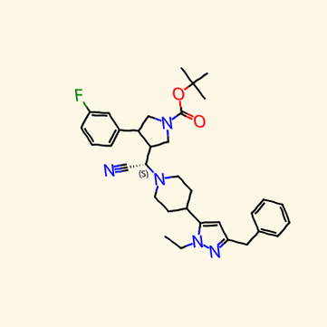 CCn1nc(Cc2ccccc2)cc1C1CCN([C@H](C#N)C2CN(C(=O)OC(C)(C)C)CC2c2cccc(F)c2)CC1